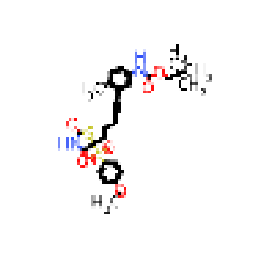 COc1ccc(S(=O)(=O)C2(CCCC#Cc3cc(NC(=O)OCC(C)(C)C)ccc3C)SC(=O)NC2=O)cc1